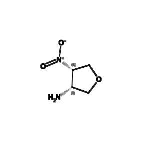 N[C@H]1COC[C@H]1[N+](=O)[O-]